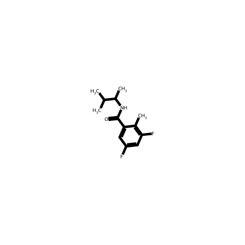 Cc1c(F)cc(F)cc1C(=O)NC(C)C(C)C